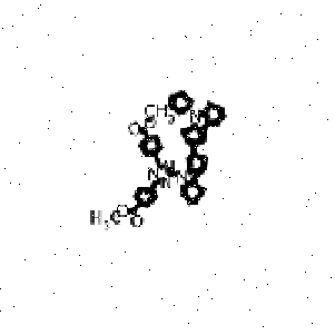 COC(=O)c1ccc(-c2nc(-c3ccc(C(=O)OC)cc3)nc(-n3c4ccccc4c4ccc(-c5ccc6c(c5)c5ccccc5n6-c5ccccc5)cc43)n2)cc1